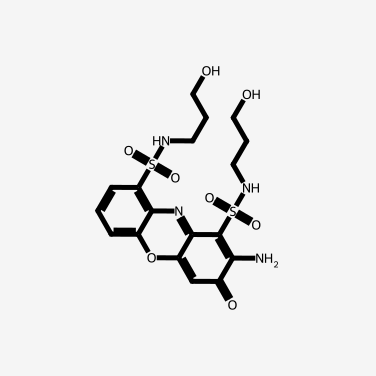 Nc1c(S(=O)(=O)NCCCO)c2nc3c(S(=O)(=O)NCCCO)cccc3oc-2cc1=O